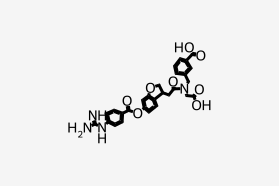 N=C(N)Nc1ccc(C(=O)Oc2ccc3c(c2)OCC3CC(=O)N(CC(=O)O)Cc2cccc(C(=O)O)c2)cc1